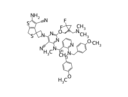 COc1ccc(CN(Cc2ccc(OC)cc2)c2ncccc2[C@@H](C)N(C)c2nc(OC[C@]3(CN(C)C)CC3(F)F)nc(N3CC4(C3)SCc3sc(N)c(C#N)c34)c2C#N)cc1